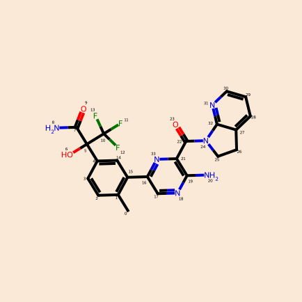 Cc1ccc(C(O)(C(N)=O)C(F)(F)F)cc1-c1cnc(N)c(C(=O)N2CCc3cccnc32)n1